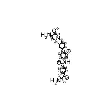 CO[C@@H]1CN(Cc2ccc(-n3ccc(NC(=O)N4CCN(C(=O)C(C)(C)N)CC4)nc3=O)cc2)CC[C@@H]1N